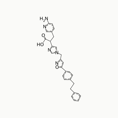 Nc1ccc(CC(C(=O)O)c2cn(Cc3cc(-c4ccc(CCc5ccccc5)cc4)on3)cn2)cn1